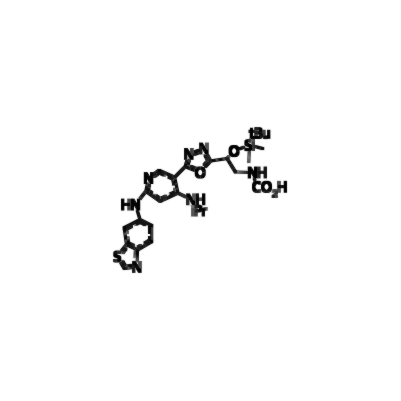 CC(C)Nc1cc(Nc2ccc3ncsc3c2)ncc1-c1nnc(C(CNC(=O)O)O[Si](C)(C)C(C)(C)C)o1